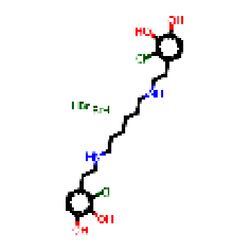 Br.Br.Oc1ccc(CCNCCCCCCNCCc2ccc(O)c(O)c2Cl)c(Cl)c1O